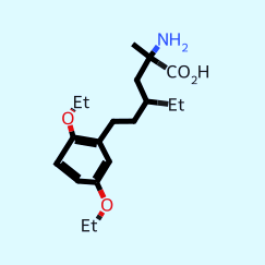 CCOc1ccc(OCC)c(CCC(CC)CC(C)(N)C(=O)O)c1